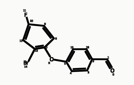 O=Cc1ccc(Oc2ccc(F)cc2Br)cc1